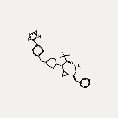 CC/C(=C\c1ccccc1)[C@@H]1C[C@H]1N(C(=O)C(F)(F)F)C1CCN(Cc2ccc(-c3nnn[nH]3)cc2)CC1